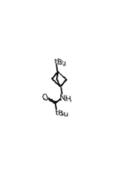 CC(C)(C)C(=O)NC12CC(C(C)(C)C)(C1)C2